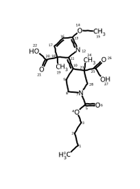 CCCCOC(=O)N1CCC(=C2N=C(OC)C=CC2(C)C(=O)O)C(C)(C(=O)O)C1